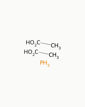 CC(=O)O.CC(=O)O.P